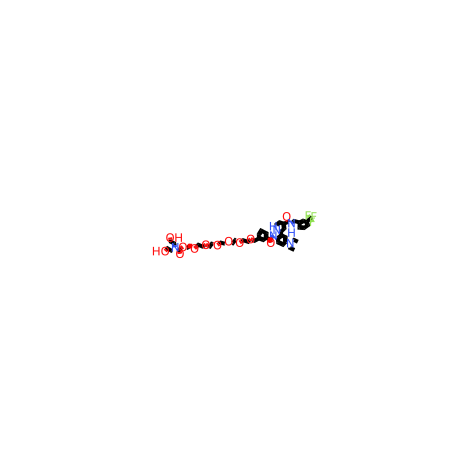 CCN(CC)c1ccc(NC(=O)c2cccc(COCCOCCOCCOCCOCCOCCOC(=O)N(CCO)CCO)c2)c(-c2cc(C(=O)NCc3cccc(C(F)(F)F)c3)ccn2)c1